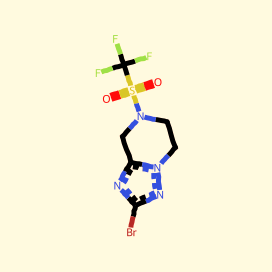 O=S(=O)(N1CCn2nc(Br)nc2C1)C(F)(F)F